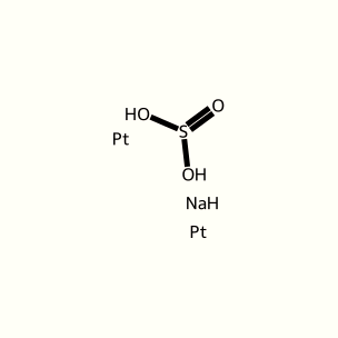 O=S(O)O.[NaH].[Pt].[Pt]